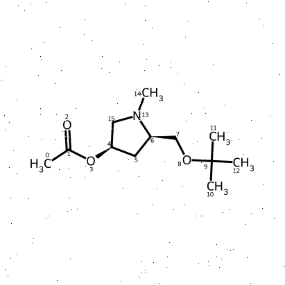 CC(=O)O[C@@H]1C[C@H](COC(C)(C)C)N(C)C1